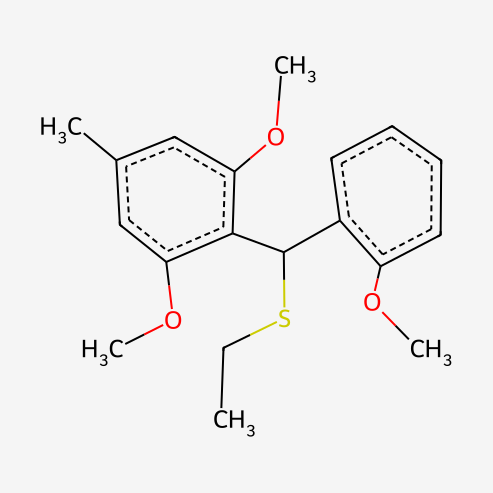 CCSC(c1ccccc1OC)c1c(OC)cc(C)cc1OC